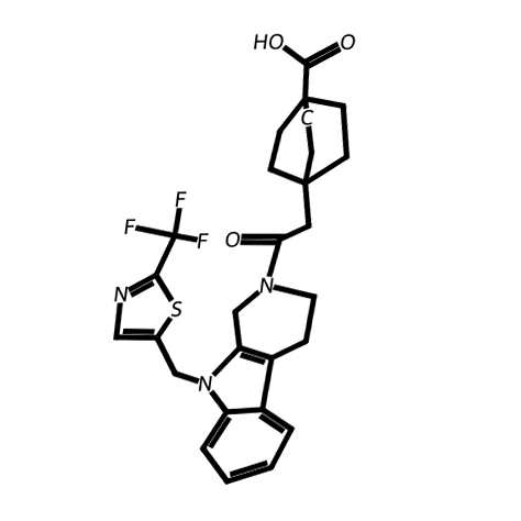 O=C(CC12CCC(C(=O)O)(CC1)CC2)N1CCc2c(n(Cc3cnc(C(F)(F)F)s3)c3ccccc23)C1